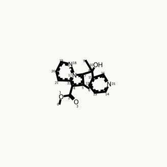 COC(=O)c1c(C)c(C(C)(O)c2cccnc2)n2ncccc12